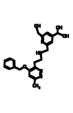 Cc1cc(OCc2ccccc2)c(CCNCc2cc(C(O)O)cc(CO)n2)nn1